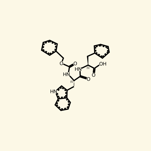 O=C(N[C@@H](Cc1c[nH]c2ccccc12)C(=O)N[C@@H](Cc1ccccc1)C(=O)O)OCc1ccccc1